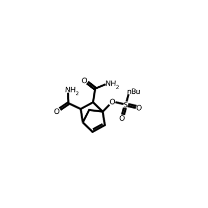 CCCCS(=O)(=O)OC12C=CC(C1)C(C(N)=O)C2C(N)=O